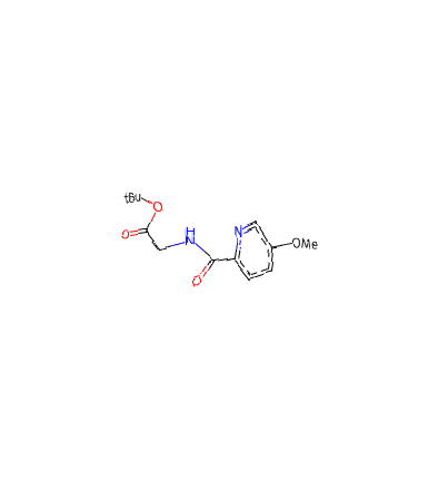 COc1ccc(C(=O)NCC(=O)OC(C)(C)C)nc1